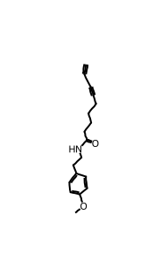 C#CC#CCCCCC(=O)NCCc1ccc(OC)cc1